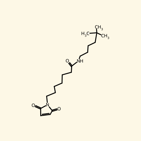 CC(C)(C)CCCCNC(=O)CCCCCCN1C(=O)C=CC1=O